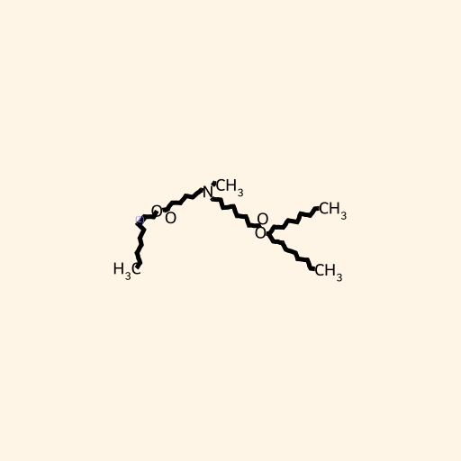 CCCCCC/C=C\COC(=O)CCCCCN(CC)CCCCCCCC(=O)OC(CCCCCCCC)CCCCCCCC